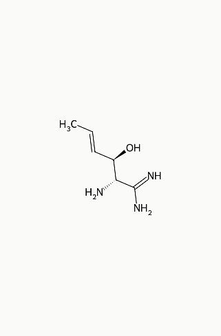 C/C=C/[C@@H](O)[C@@H](N)C(=N)N